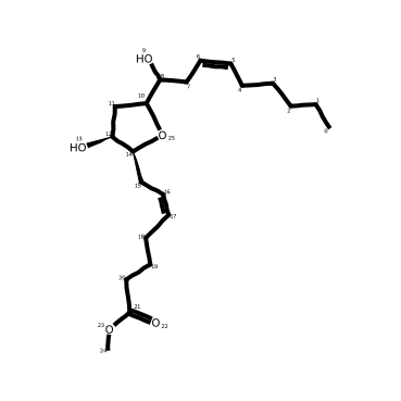 CCCCC/C=C\CC(O)C1C[C@H](O)[C@H](C/C=C\CCCC(=O)OC)O1